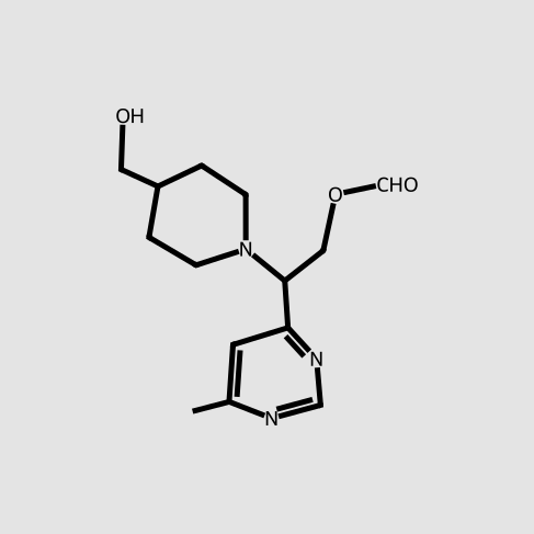 Cc1cc(C(COC=O)N2CCC(CO)CC2)ncn1